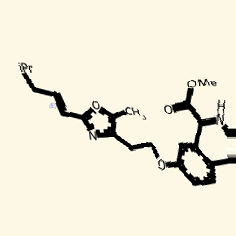 COC(=O)C1NCCc2ccc(OCCc3nc(/C=C/CC(C)C)oc3C)cc21